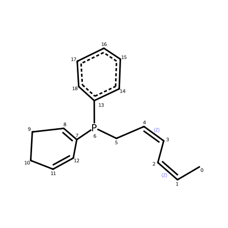 C/C=C\C=C/CP(C1=CCCC=C1)c1ccccc1